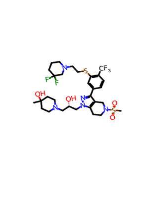 CC1(O)CCN(C[C@H](O)Cn2nc(-c3ccc(C(F)(F)F)c(SCCN4CCCC(F)(F)C4)c3)c3c2CCN(S(C)(=O)=O)C3)CC1